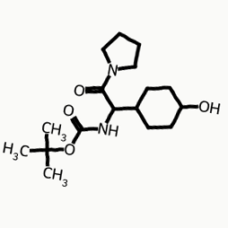 CC(C)(C)OC(=O)NC(C(=O)N1CCCC1)C1CCC(O)CC1